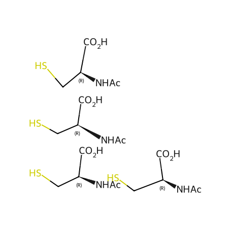 CC(=O)N[C@@H](CS)C(=O)O.CC(=O)N[C@@H](CS)C(=O)O.CC(=O)N[C@@H](CS)C(=O)O.CC(=O)N[C@@H](CS)C(=O)O